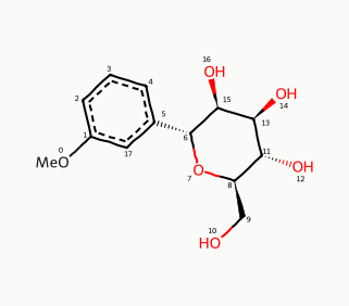 COc1cccc([C@H]2O[C@H](CO)[C@@H](O)[C@H](O)[C@@H]2O)c1